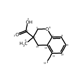 CC1(C(=O)O)COc2cccc(I)c2C1